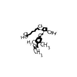 COCc1c(C)cc(OC[C@@H]2[C@@H](C/C=C\CCCC(=O)O)[C@H](Cl)C[C@H]2O)cc1C